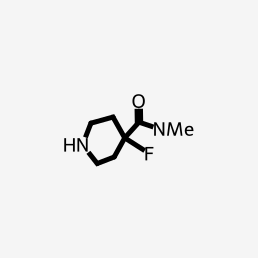 CNC(=O)C1(F)CCNCC1